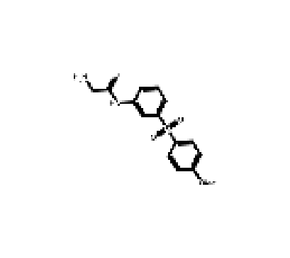 COc1ccc(S(=O)(=O)c2cccc(NC(=O)CN)c2)cc1